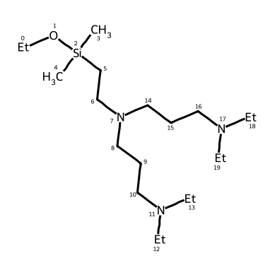 CCO[Si](C)(C)CCN(CCCN(CC)CC)CCCN(CC)CC